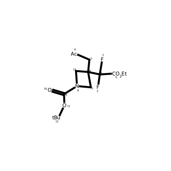 CCOC(=O)C(F)(F)C1(CC(C)=O)CN(C(=O)OC(C)(C)C)C1